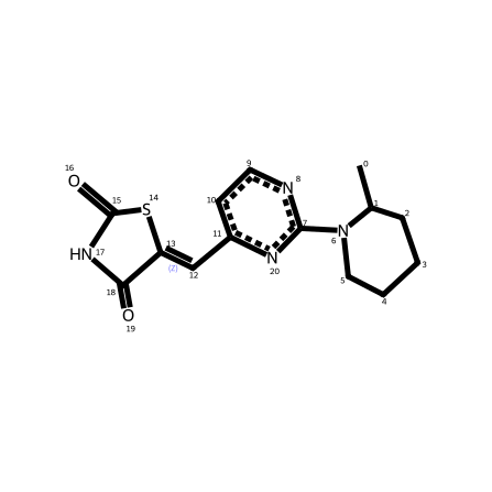 CC1CCCCN1c1nccc(/C=C2\SC(=O)NC2=O)n1